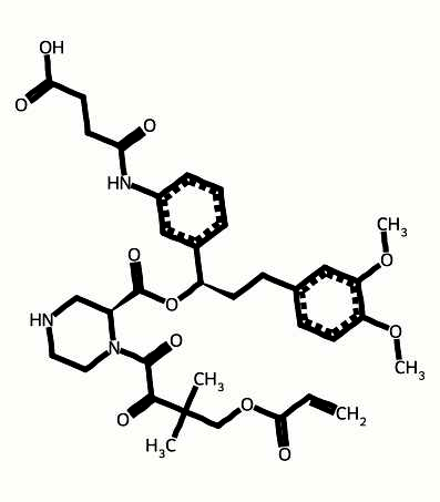 C=CC(=O)OCC(C)(C)C(=O)C(=O)N1CCNC[C@H]1C(=O)O[C@H](CCc1ccc(OC)c(OC)c1)c1cccc(NC(=O)CCC(=O)O)c1